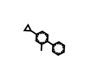 Cc1[c]c(C2CC2)ccc1-c1ccccc1